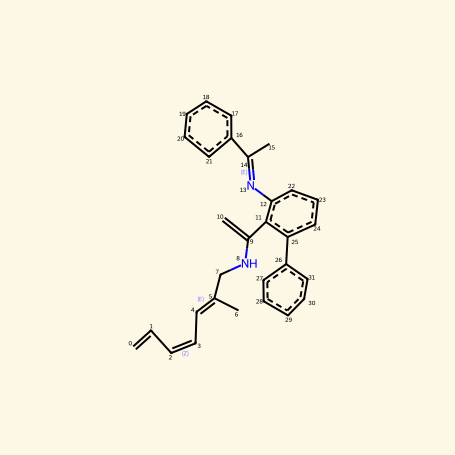 C=C/C=C\C=C(/C)CNC(=C)c1c(/N=C(\C)c2ccccc2)cccc1-c1ccccc1